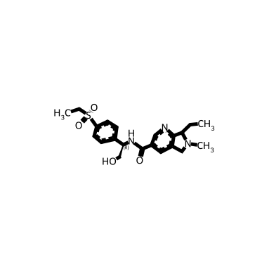 CCC1c2ncc(C(=O)N[C@@H](CO)c3ccc(S(=O)(=O)CC)cc3)cc2CN1C